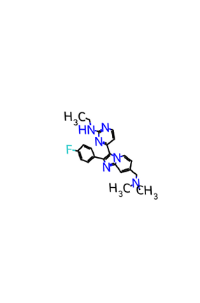 CCNc1nccc(-c2c(-c3ccc(F)cc3)nc3cc(CN(C)C)ccn23)n1